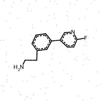 NCCc1cccc(-c2ccc(F)nc2)c1